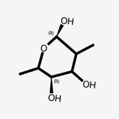 CC1O[C@@H](O)C(C)C(O)[C@H]1O